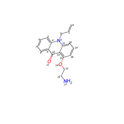 C=CCn1c2ccccc2c(=O)c2c(OCCN)cccc21